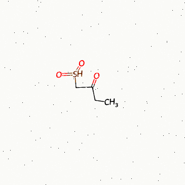 CCC(=O)C[SH](=O)=O